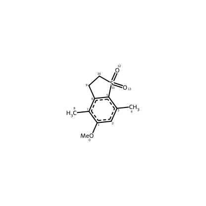 COc1cc(C)c2c(c1C)CCS2(=O)=O